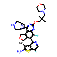 CC(C)(COc1nc(N2C3CCC2CNC3)c2c3c(c(-c4ncc(F)c5sc(N)c(C#N)c45)c(F)c2n1)COC3)CN1CCOCC1